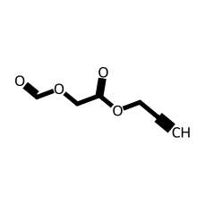 C#CCOC(=O)COC=O